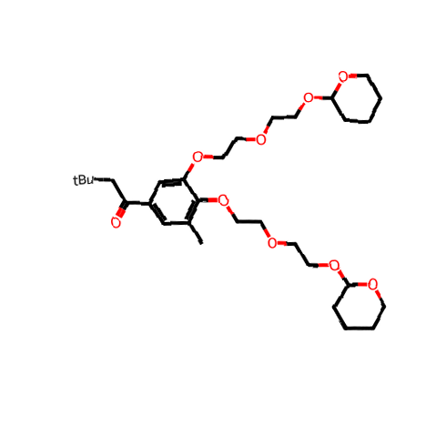 Cc1cc(C(=O)CC(C)(C)C)cc(OCCOCCOC2CCCCO2)c1OCCOCCOC1CCCCO1